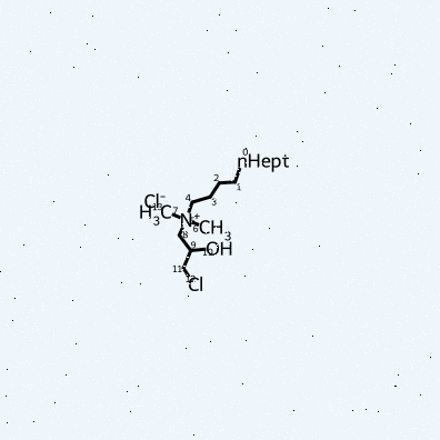 CCCCCCCCCCC[N+](C)(C)CC(O)CCl.[Cl-]